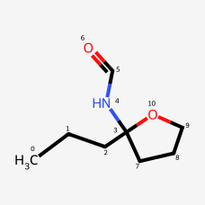 CCCC1(NC=O)CCCO1